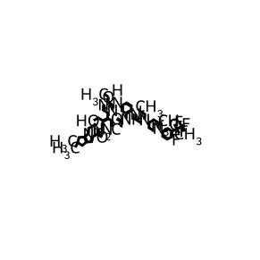 C=CC(=O)Nc1cc(Nc2nc(-c3ccnc(N4CCn5c(cc6c5CC(C)(C)C6)C4=O)c3CO)cnc2OC)ccc1N1CCN(C2CCN(c3ccc(F)c(C(C)(C)C(F)(F)F)c3)[C@H](C)C2)C[C@@H]1C